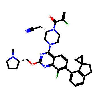 C=C(F)C(=O)N1CCN(c2nc(OC[C@@H]3CCCN3C)nc3c(F)c(-c4cccc5c4C4(CC5)CC4)ccc23)C[C@@H]1CC#N